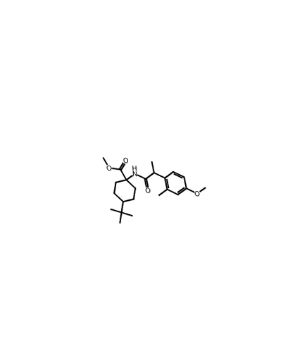 COC(=O)C1(NC(=O)C(C)c2ccc(OC)cc2C)CCC(C(C)(C)C)CC1